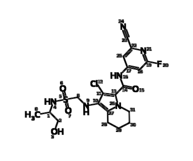 CC(CO)NS(=O)(=O)CNc1c(Cl)c(C(=O)Nc2cc(F)nc(C#N)c2)n2c1CCCC2